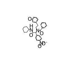 COc1cccc(CCN(C(=O)c2ccccc2)C(C(=O)NC2CCCCC2)c2ccc([N+](=O)[O-])cc2)c1